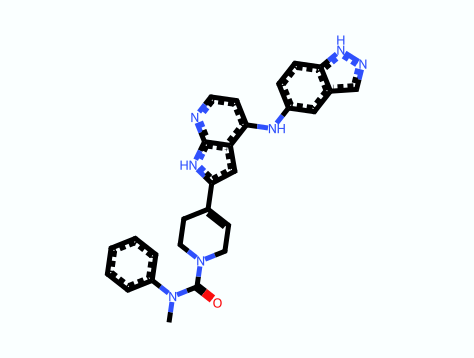 CN(C(=O)N1CC=C(c2cc3c(Nc4ccc5[nH]ncc5c4)ccnc3[nH]2)CC1)c1ccccc1